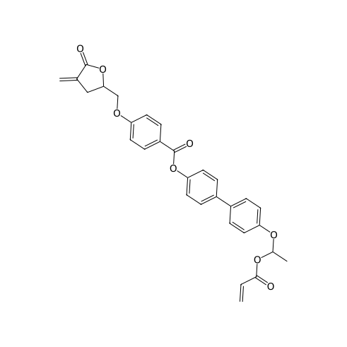 C=CC(=O)OC(C)Oc1ccc(-c2ccc(OC(=O)c3ccc(OCC4CC(=C)C(=O)O4)cc3)cc2)cc1